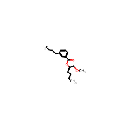 CCCCc1cccc(C(=O)OC(CCCC)COC)c1